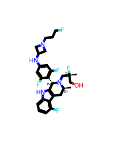 C[C@H]1Cc2c([nH]c3cccc(F)c23)[C@H](c2c(F)cc(NC3CN(CCCF)C3)cc2F)N1C[C@](C)(F)CO